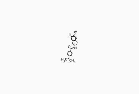 CC(C)c1ccc(C(=O)NC2CCc3nn(C4CC4)c(=O)cc3C2)cc1